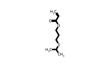 C=CC(=O)OCCCSC(C)C